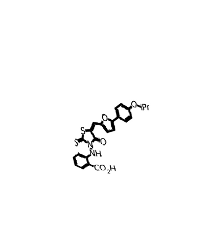 CC(C)Oc1ccc(-c2ccc(/C=C3/SC(=S)N(Nc4ccccc4C(=O)O)C3=O)o2)cc1